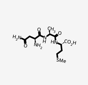 CSCC[C@H](NC(=O)[C@H](C)NC(=O)[C@@H](N)CC(N)=O)C(=O)O